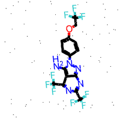 Nc1c2c(C(F)(F)F)nc(C(F)(F)F)nc2nn1-c1ccc(OCC(F)(F)F)cc1